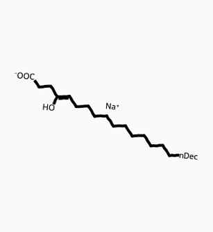 CCCCCCCCCCCCCCCCCCCCCC=C(O)CCC(=O)[O-].[Na+]